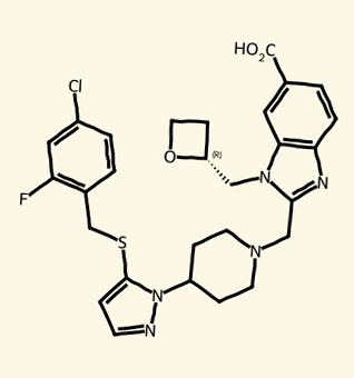 O=C(O)c1ccc2nc(CN3CCC(n4nccc4SCc4ccc(Cl)cc4F)CC3)n(C[C@H]3CCO3)c2c1